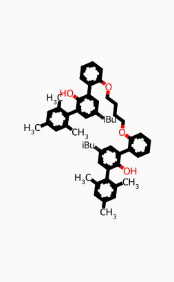 CCC(C)c1cc(-c2ccccc2OCCCCOc2ccccc2-c2cc(C(C)CC)cc(-c3c(C)cc(C)cc3C)c2O)c(O)c(-c2c(C)cc(C)cc2C)c1